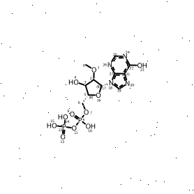 COC1C(O)[C@@H](COP(=O)(O)OP(=O)(O)O)O[C@H]1n1cnc2c(O)ncnc21